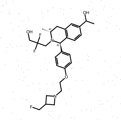 CC(O)c1ccc2c(c1)C[C@@H](C)N(CC(F)(F)CO)[C@@H]2c1ccc(OCCN2CC(CF)C2)cc1